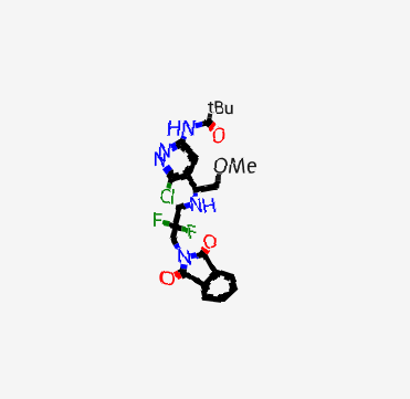 COCC(NCC(F)(F)CN1C(=O)c2ccccc2C1=O)c1cc(NC(=O)C(C)(C)C)nnc1Cl